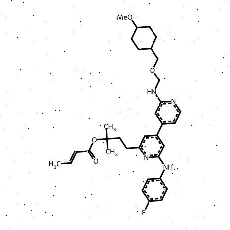 C/C=C/C(=O)OC(C)(C)CCc1cc(-c2ccnc(NCOCC3CCC(OC)CC3)c2)cc(Nc2ccc(F)cc2)n1